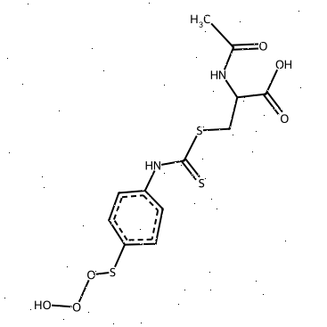 CC(=O)NC(CSC(=S)Nc1ccc(SOOO)cc1)C(=O)O